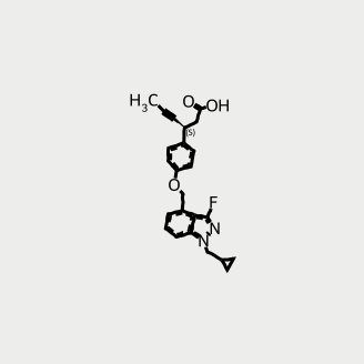 CC#C[C@@H](CC(=O)O)c1ccc(OCc2cccc3c2c(F)nn3CC2CC2)cc1